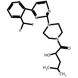 CC(C)CC(O)C(=O)N1CCN(c2nccc(-c3ccccc3C(F)F)n2)CC1